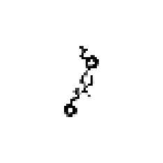 CC(C)Cc1cccc(N2CCN(C(=S)NCCc3ccccc3)CC2)c1